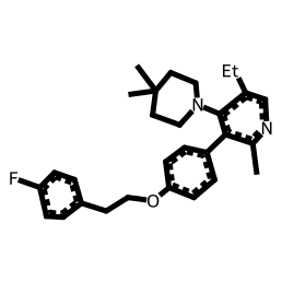 CCc1cnc(C)c(-c2ccc(OCCc3ccc(F)cc3)cc2)c1N1CCC(C)(C)CC1